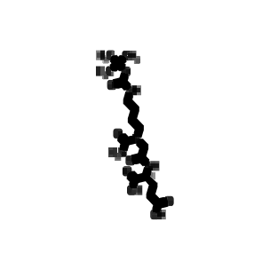 CC(C)(C)OC(=O)NCCCCN(CC(=O)N[C@@H](CCC(=O)O)C(=O)O)C(N)=O